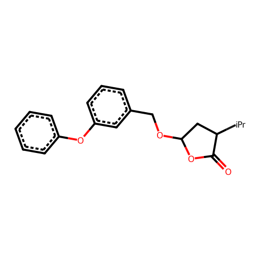 CC(C)C1CC(OCc2cccc(Oc3ccccc3)c2)OC1=O